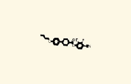 CCCCOc1ccc(C2CCC(C(=O)Oc3ccc(C#N)c(F)c3F)CC2)cc1